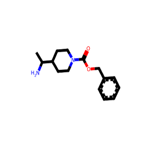 CC(N)C1CCN(C(=O)OCc2ccccc2)CC1